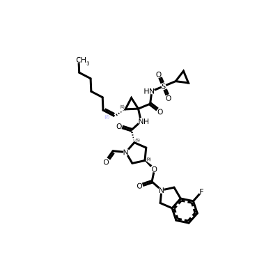 CCCCC/C=C\[C@@H]1CC1(NC(=O)[C@@H]1C[C@@H](OC(=O)N2Cc3cccc(F)c3C2)CN1C=O)C(=O)NS(=O)(=O)C1CC1